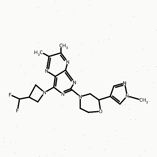 Cc1nc2nc(N3CCOC(c4cnn(C)c4)C3)nc(N3CC(C(F)F)C3)c2nc1C